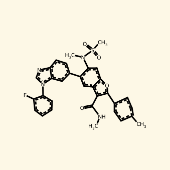 CNC(=O)c1c(-c2ccc(C)cc2)oc2cc(N(C)S(C)(=O)=O)c(-c3ccc4ncn(-c5ccccc5F)c4c3)cc12